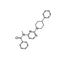 CN(C(=O)c1ccccc1)c1ccnc(N2CCC(c3ccccc3)CC2)n1